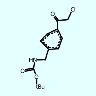 CC(C)(C)OC(=O)NCc1ccc(C(=O)CCl)cc1